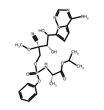 CO[C@](C#N)(COP(=O)(N[C@@H](C)C(=O)OC(C)C)Oc1ccccc1)[C@@H](O)[C@@H](O)c1ccc2c(N)ncnn12